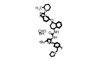 CC1CCCCN1c1nnc2ccc(O[C@@H]3CC[C@H](NC(=O)Nc4cc(C(C)(C)C)nn4-c4ccc(F)c(CN5CCCC5)c4)c4ccccc43)cn12.O=CO